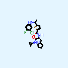 CC(Nc1ccc(F)c(Cl)c1)c1ccc(C(=O)N[C@@H](CC2CCCC2)C(=O)NC2CC2)s1